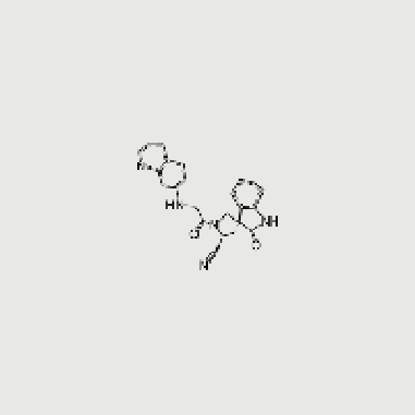 N#C[C@@H]1C[C@@]2(CN1C(=O)CNc1ccc3cccnc3c1)C(=O)Nc1ccccc12